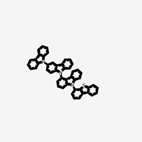 c1ccc2c(c1)sc1c(-n3c4ccccc4c4c(-n5c6ccccc6c6cc(-n7c8ccccc8c8ccccc87)ccc65)cccc43)cccc12